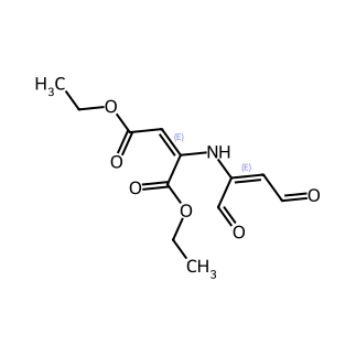 CCOC(=O)/C=C(/N/C(C=O)=C/C=O)C(=O)OCC